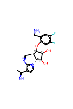 C/C=N\c1c(C(C)=N)ccn1[C@@H]1C[C@H](Oc2cc(F)c(F)cc2CN)[C@@H](O)[C@H]1O